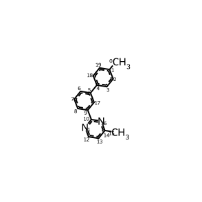 Cc1ccc(-c2cccc(-c3nccc(C)n3)c2)cc1